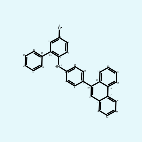 Brc1ccc(Nc2ccc(-c3cc4ccccc4c4ccccc34)cc2)c(-c2ccccc2)c1